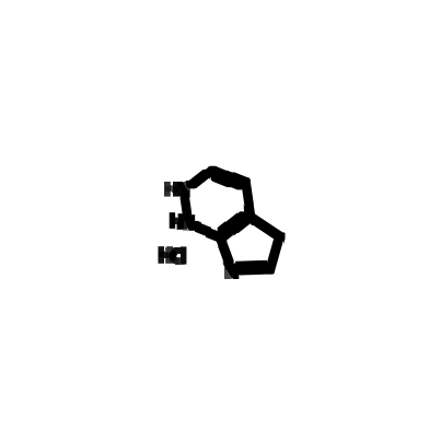 C1=CC2=C(N=CC2)NN1.Cl